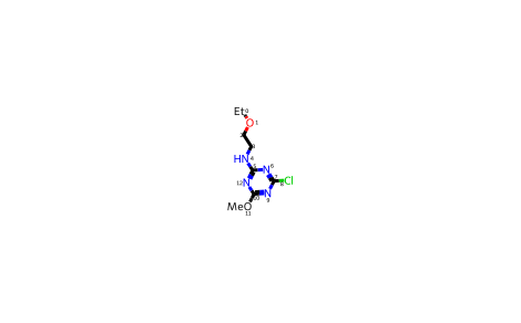 CCOCCNc1nc(Cl)nc(OC)n1